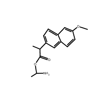 COc1ccc2cc(C(C)C(=O)OC(C)N)ccc2c1